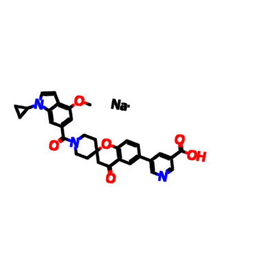 COc1cc(C(=O)N2CCC3(CC2)CC(=O)c2cc(-c4cncc(C(=O)O)c4)ccc2O3)cc2c1ccn2C1CC1.[Na]